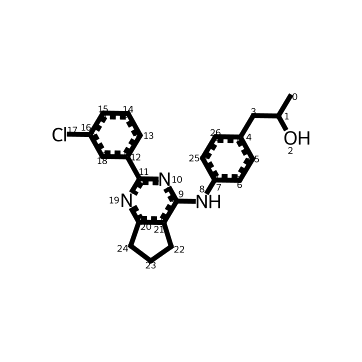 CC(O)Cc1ccc(Nc2nc(-c3cccc(Cl)c3)nc3c2CCC3)cc1